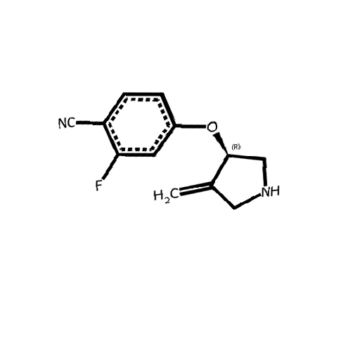 C=C1CNC[C@@H]1Oc1ccc(C#N)c(F)c1